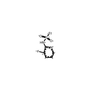 CCS(=O)(=O)Nc1ncccc1F